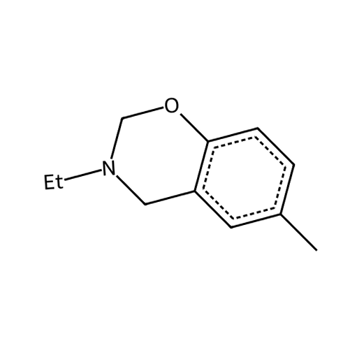 CCN1COc2ccc(C)cc2C1